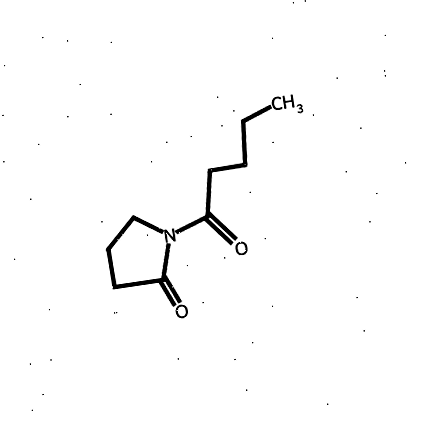 CCCCC(=O)N1CCCC1=O